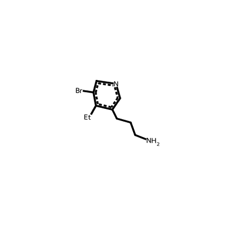 CCc1c(Br)cncc1CCCN